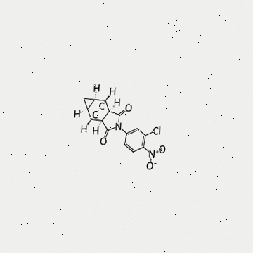 O=C1[C@@H]2[C@@H]3CC[C@@H]([C@H]4C[C@H]43)[C@@H]2C(=O)N1c1ccc([N+](=O)[O-])c(Cl)c1